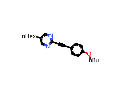 CCCCCCc1cnc(C#Cc2ccc(OCCCC)cc2)nc1